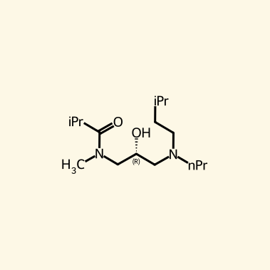 CCCN(CCC(C)C)C[C@@H](O)CN(C)C(=O)C(C)C